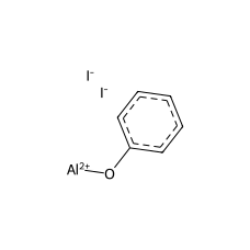 [Al+2][O]c1ccccc1.[I-].[I-]